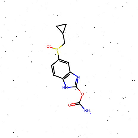 NC(=O)Oc1nc2cc([S+]([O-])CC3CC3)ccc2[nH]1